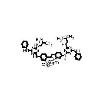 CC(N)CNc1nc(Nc2ccccc2)nc(Nc2ccc(/C=C/c3ccc(Nc4nc(NCC(C)N)nc(Nc5ccccc5)n4)cc3S(=O)(=O)O)c(S(=O)(=O)O)c2)n1